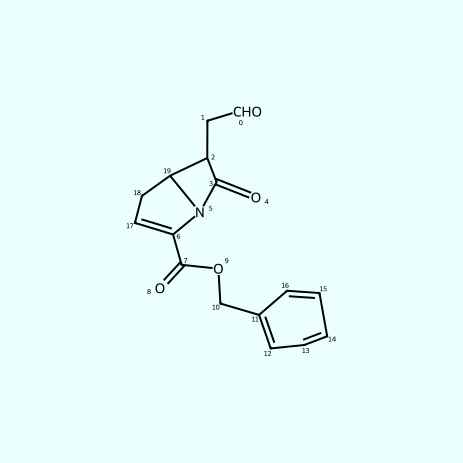 O=CCC1C(=O)N2C(C(=O)OCc3ccccc3)=CCC12